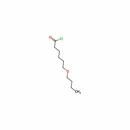 CCCCOCCCCCC(=O)Cl